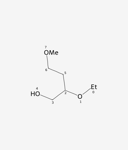 CCOC(CO)CCOC